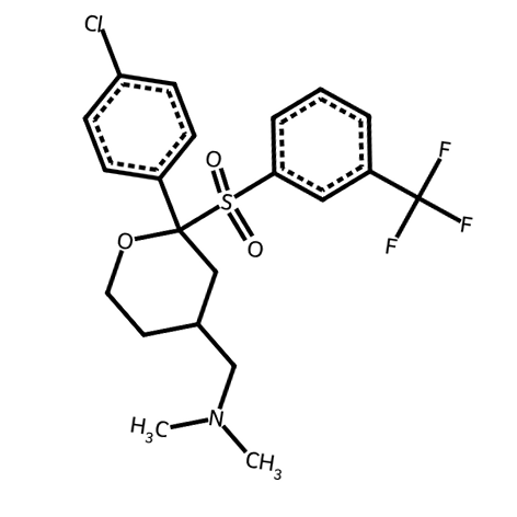 CN(C)CC1CCOC(c2ccc(Cl)cc2)(S(=O)(=O)c2cccc(C(F)(F)F)c2)C1